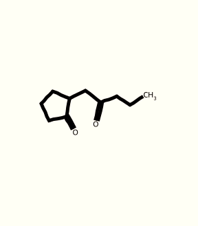 CCCC(=O)CC1CCCC1=O